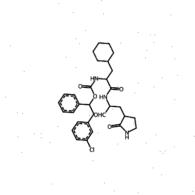 O=CC(CC1CCNC1=O)NC(=O)C(CC1CCCCC1)NC(=O)OC(Cc1cccc(Cl)c1)c1ccccc1